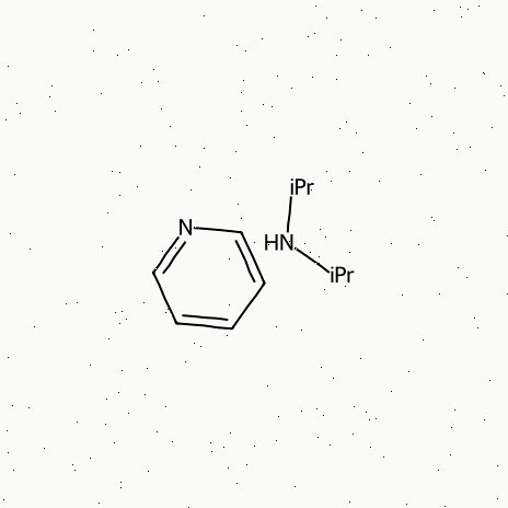 CC(C)NC(C)C.c1ccncc1